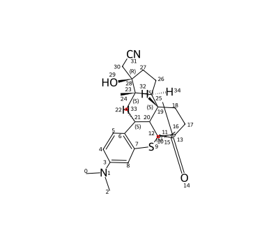 CN(C)c1ccc2c(c1)S[C@]13CCC(=O)C=C1CC[C@@H]1C3[C@@H]2C[C@@]2(C)[C@H]1CC[C@@]2(O)CC#N